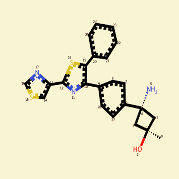 C[C@]1(O)C[C@@](N)(c2ccc(-c3nc(-c4cscn4)sc3-c3ccccc3)cc2)C1